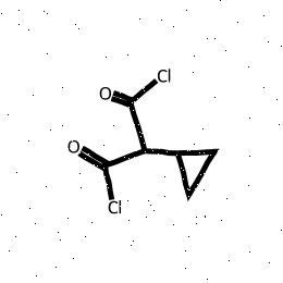 O=C(Cl)C(C(=O)Cl)C1CC1